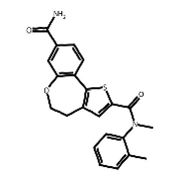 Cc1ccccc1N(C)C(=O)c1cc2c(s1)-c1ccc(C(N)=O)cc1OCC2